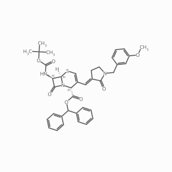 COc1cccc(CN2CCC(=CC3=CS[C@@H]4[C@H](NC(=O)OC(C)(C)C)C(=O)N4[C@H]3C(=O)OC(c3ccccc3)c3ccccc3)C2=O)c1